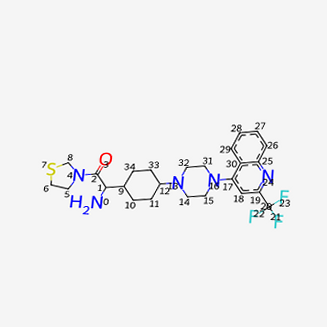 NC(C(=O)N1CCSC1)C1CCC(N2CCN(c3cc(C(F)(F)F)nc4ccccc34)CC2)CC1